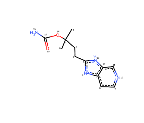 CC(C)(CCc1nc2ccncc2[nH]1)OC(N)=O